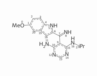 COc1ccc2[nH]c(C(=N)c3c(N)ncnc3NC(C)C)cc2c1